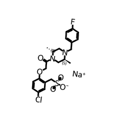 C[C@@H]1CN(Cc2ccc(F)cc2)[C@@H](C)CN1C(=O)COc1ccc(Cl)cc1CS(=O)(=O)[O-].[Na+]